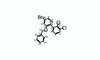 Clc1cccc(-c2ncc(Br)cc2OCc2ccccc2)c1Cl